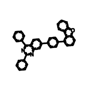 c1ccc(-c2nc(-c3ccccc3)c3ccc(-c4ccc(-c5cccc6oc7ccccc7c56)cc4)cc3n2)cc1